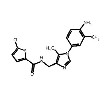 Cc1cc(-n2cnc(CNC(=O)c3ccc(Cl)s3)c2C)ccc1N